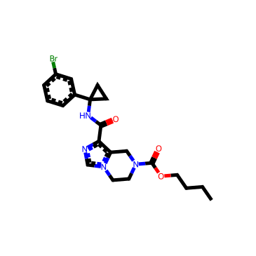 CCCCOC(=O)N1CCn2cnc(C(=O)NC3(c4cccc(Br)c4)CC3)c2C1